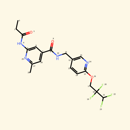 CCC(=O)Nc1cc(C(=O)NCc2ccc(OCC(F)(F)C(F)F)nc2)cc(C)n1